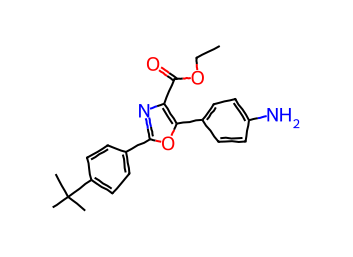 CCOC(=O)c1nc(-c2ccc(C(C)(C)C)cc2)oc1-c1ccc(N)cc1